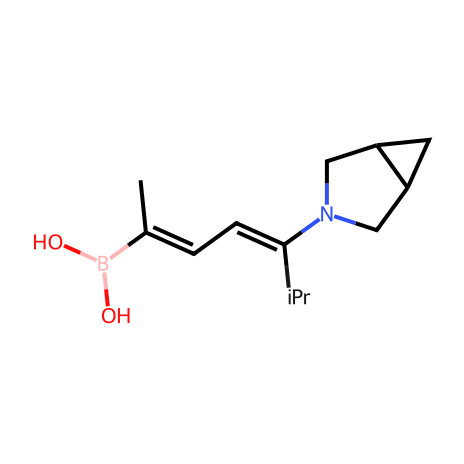 C/C(=C\C=C(/C(C)C)N1CC2CC2C1)B(O)O